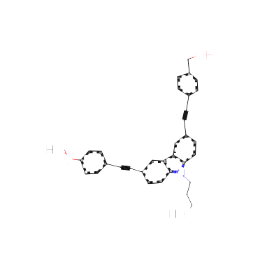 CCCCn1c2ccc(C#Cc3ccc(CO)cc3)cc2c2cc(C#Cc3ccc(OC)cc3)ccc21